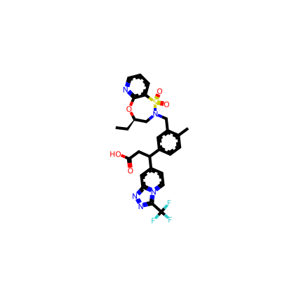 CC[C@@H]1CN(Cc2cc(C(CC(=O)O)c3ccn4c(C(F)(F)F)nnc4c3)ccc2C)S(=O)(=O)c2cccnc2O1